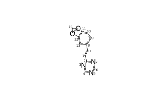 C(=Cc1ncncn1)c1ccc2c(c1)OCO2